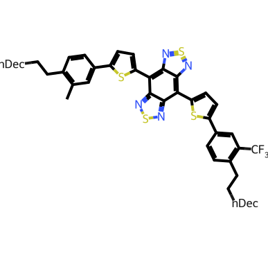 CCCCCCCCCCCCc1ccc(-c2ccc(-c3c4c(c(-c5ccc(-c6ccc(CCCCCCCCCCCC)c(C(F)(F)F)c6)s5)c5nsnc35)N=S=N4)s2)cc1C